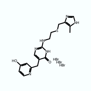 Br.Br.Br.Cc1[nH]cnc1CSCCNc1ncc(Cc2cc(O)ccn2)c(=O)[nH]1